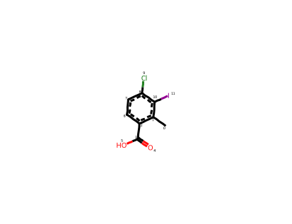 Cc1c(C(=O)O)ccc(Cl)c1I